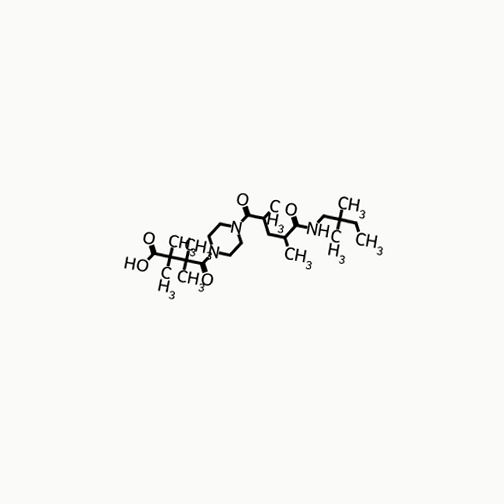 CCC(C)(C)CNC(=O)C(C)CC(C)C(=O)N1CCN(C(=O)C(C)(C)C(C)(C)C(=O)O)CC1